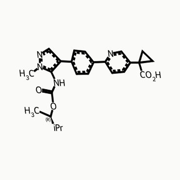 CC(C)[C@@H](C)OC(=O)Nc1c(-c2ccc(-c3ccc(C4(C(=O)O)CC4)cn3)cc2)cnn1C